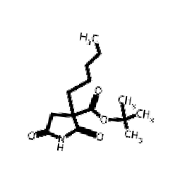 CCCCCC1(C(=O)OC(C)(C)C)CC(=O)NC1=O